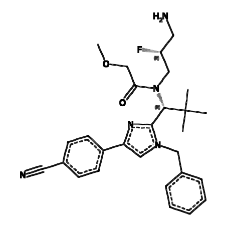 COCC(=O)N(C[C@H](F)CN)[C@@H](c1nc(-c2ccc(C#N)cc2)cn1Cc1ccccc1)C(C)(C)C